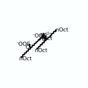 CC(C)[O][Al+2].CCCCCCCCC=CCCCCCCCCC(CCCCCCCCC=CCCCCCCCC)C(=O)CC(=O)[O-].CCCCCCCCC=CCCCCCCCCC(CCCCCCCCC=CCCCCCCCC)C(=O)CC(=O)[O-]